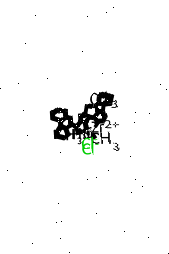 CCCC1=Cc2c(-c3cc4ccccc4c4ccccc34)cccc2C1c1[c]([Zr+2][SiH](C)C)ccc2c1Cc1ccccc1-2.[Cl-].[Cl-]